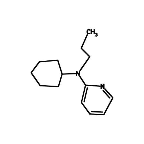 CCCN(c1ccccn1)C1CCCCC1